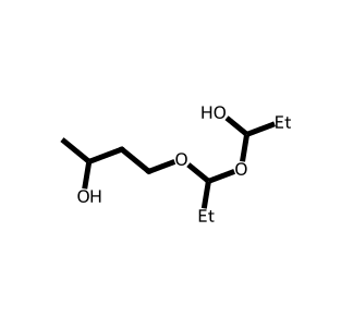 CCC(O)OC(CC)OCCC(C)O